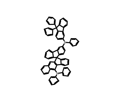 c1ccc(N(c2ccc3c(c2)-c2ccccc2C3(c2ccccc2)c2ccccc2)c2ccc3c(c2)-c2ccccc2C32c3ccccc3-c3c2cc2ccccc2c3N(c2ccccc2)c2ccccc2)cc1